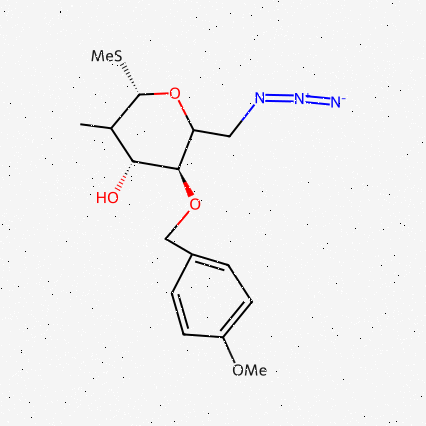 COc1ccc(CO[C@@H]2C(CN=[N+]=[N-])O[C@@H](SC)C(C)[C@H]2O)cc1